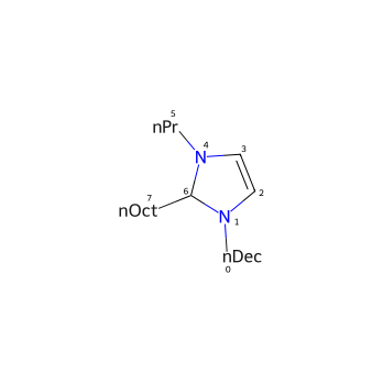 CCCCCCCCCCN1C=CN(CCC)C1CCCCCCCC